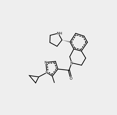 Cc1c(C(=O)N2CCc3cccc([C@@H]4CCCN4)c3C2)cnn1C1CC1